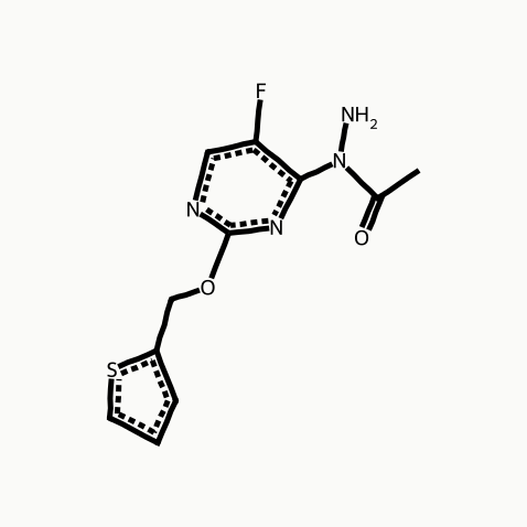 CC(=O)N(N)c1nc(OCc2cccs2)ncc1F